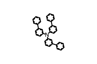 c1ccc(-c2cccc(N(c3cccc(-c4ccccc4)c3)c3cccc(-c4ccccc4)c3)c2)cc1